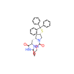 C=CCOC(=O)N1C[C@@H](SC(c2ccccc2)(c2ccccc2)c2ccccc2)C[C@H]1CC1NC(=O)NC1=O